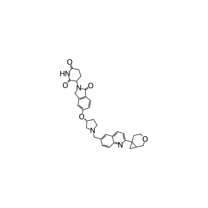 O=C1CCC(N2Cc3cc(O[C@H]4CCN(Cc5ccc6nc(C78CCOCC7C8)ccc6c5)C4)ccc3C2=O)C(=O)N1